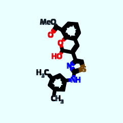 COC(=O)c1cccc2c1OC(O)C(c1csc(Nc3cc(C)cc(C)c3)n1)=C2